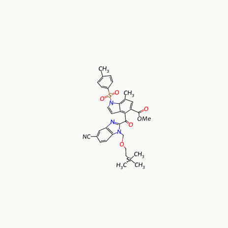 COC(=O)c1cc(C)c2c(ccn2S(=O)(=O)c2ccc(C)cc2)c1C(=O)c1nc2cc(C#N)ccc2n1COCC[Si](C)(C)C